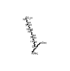 CCCCCCCCCCCCCCN(CCCCCCCCCCCCCC)C(=O)CCC(=O)NCCNC(=S)NCCNC(=S)NCCNC(=S)NCCNC(=O)O